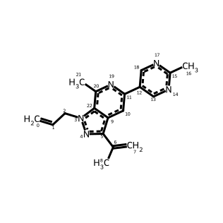 C=CCn1nc(C(=C)C)c2cc(-c3cnc(C)nc3)nc(C)c21